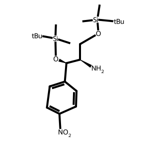 CC(C)(C)[Si](C)(C)OC[C@@H](N)[C@H](O[Si](C)(C)C(C)(C)C)c1ccc([N+](=O)[O-])cc1